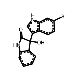 O=C1Nc2ccccc2C1(O)c1c[nH]c2cc(Br)ccc12